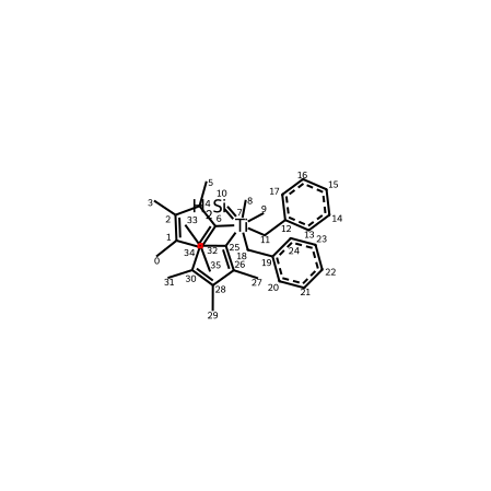 CC1=C(C)C(C)[C]([Ti]([CH3])([CH3])(=[SiH2])([CH2]c2ccccc2)([CH2]c2ccccc2)[C]2=C(C)C(C)=C(C)C2C)=C1C